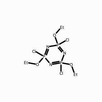 CCOP1(Cl)=NP(Cl)(OCC)=NP(Cl)(OCC)=N1